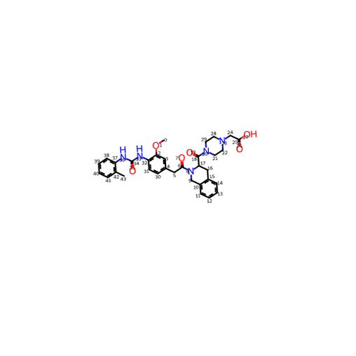 COc1cc(CC(=O)N2Cc3ccccc3CC2C(=O)N2CCN(CC(=O)O)CC2)ccc1NC(=O)Nc1ccccc1C